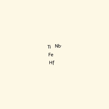 [Fe].[Hf].[Nb].[Ti]